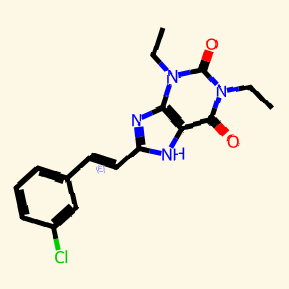 CCn1c(=O)c2[nH]c(/C=C/c3cccc(Cl)c3)nc2n(CC)c1=O